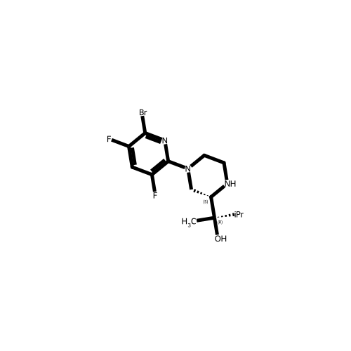 CC(C)[C@@](C)(O)[C@@H]1CN(c2nc(Br)c(F)cc2F)CCN1